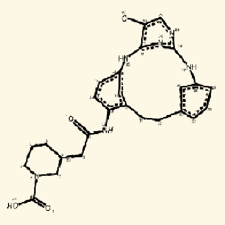 O=C(C[C@@H]1CCCN(C(=O)O)C1)Nc1ccc2cc1CCc1cccc(c1)Nc1ncc(Cl)c(n1)N2